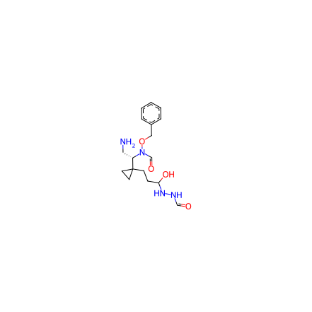 NC[C@H](N(C=O)OCc1ccccc1)C1(CCC(O)NNC=O)CC1